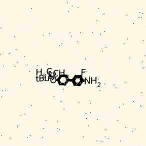 CC(C)(C)[Si](C)(C)OC1CCC(c2ccc(N)c(F)c2)CC1